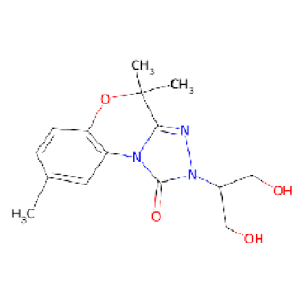 Cc1ccc2c(c1)-n1c(nn(C(CO)CO)c1=O)C(C)(C)O2